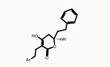 CCC[C@@]1(CCc2ccccc2)CC(O)=C(CCC(C)=O)C(=O)O1